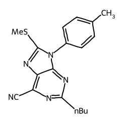 CCCCc1nc(C#N)c2nc(SC)n(-c3ccc(C)cc3)c2n1